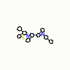 c1ccc(-c2ccc(-n3c4ccccc4c4cc(-c5ccc6c(c5)c5ccccc5n6-c5ccc(-c6ccccc6)c6c5sc5ccccc56)ccc43)cc2)cc1